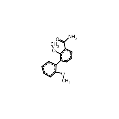 COc1ccccc1-c1cccc(C(N)=O)c1OC